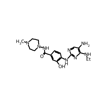 CCNc1nc(Nc2ccc(C(=O)NN3CCN(C)CC3)cc2O)ncc1N